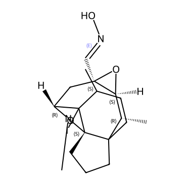 CC1CCC23CCC[C@]24N(C)O[C@H](C[C@@]2(/C=N/O)O[C@H]2[C@@H]3C)C14I